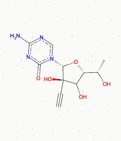 C#C[C@@]1(O)C(O)[C@@H]([C@H](C)O)O[C@H]1n1cnc(N)nc1=O